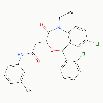 CC(C)(C)CN1C(=O)C(CC(=O)Nc2cccc(C#N)c2)OC(c2ccccc2Cl)c2cc(Cl)ccc21